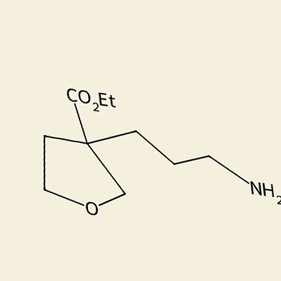 CCOC(=O)C1(CCCN)CCOC1